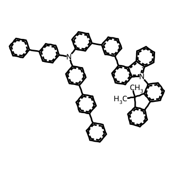 CC1(C)c2ccccc2-c2cccc(-n3c4ccccc4c4c(-c5cccc(-c6cccc(N(c7ccc(-c8ccccc8)cc7)c7ccc(-c8ccc(-c9ccccc9)cc8)cc7)c6)c5)cccc43)c21